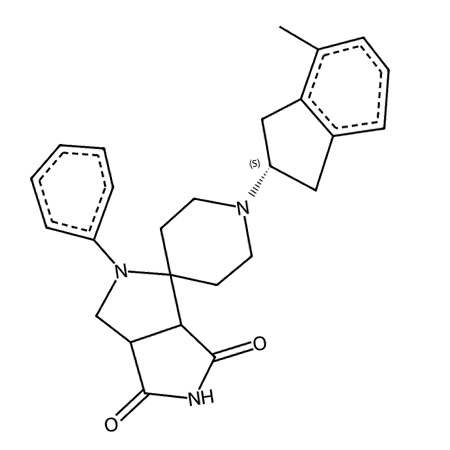 Cc1cccc2c1C[C@@H](N1CCC3(CC1)C1C(=O)NC(=O)C1CN3c1ccccc1)C2